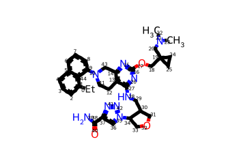 CCc1cccc2cccc(N3CCc4c(nc(OCC5(CN(C)C)CC5)nc4NCC4COCC4n4cc(C(N)=O)nn4)C3)c12